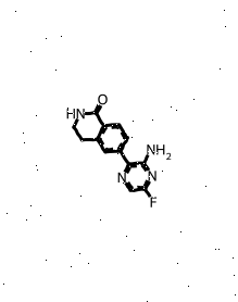 Nc1nc(F)cnc1-c1ccc2c(c1)CCNC2=O